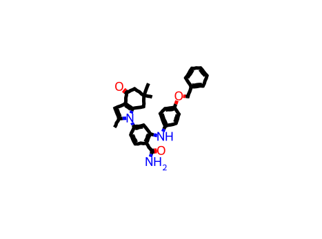 Cc1cc2c(n1-c1ccc(C(N)=O)c(Nc3ccc(OCc4ccccc4)cc3)c1)CC(C)(C)CC2=O